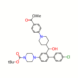 COC(=O)c1ccc(N2CCC(C(O)c3cc(N4CCN(C(=O)OC(C)(C)C)CC4)ccc3-c3ccc(Cl)cc3)CC2)cc1